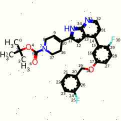 CC(C)(C)OC(=O)N1CC=C(c2cc3c(-c4cc(OCc5cccc(F)c5)ccc4F)ccnc3[nH]2)CC1